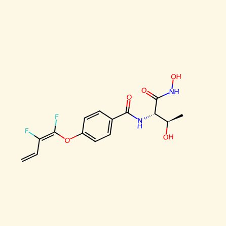 C=C/C(F)=C(/F)Oc1ccc(C(=O)N[C@H](C(=O)NO)[C@@H](C)O)cc1